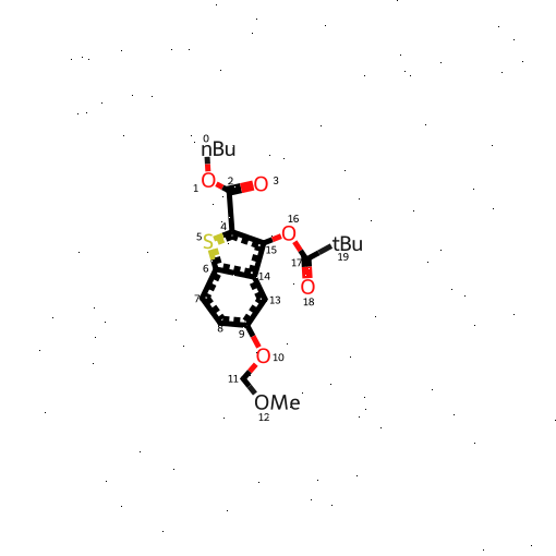 CCCCOC(=O)c1sc2ccc(OCOC)cc2c1OC(=O)C(C)(C)C